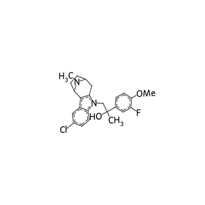 COc1ccc(C(C)(O)Cn2c3c(c4cc(Cl)ccc42)C2CCC(C3)N2C)cc1F